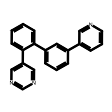 [c]1ccc(-c2cccc(-c3cccnc3)c2)c(-c2cncnc2)c1